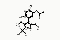 CC(=S)Oc1cc(-c2c(CCl)[nH]c(C(F)(F)F)c2CCl)c(F)cc1Cl